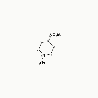 CCCN1CCC(C(=O)OCC)CC1